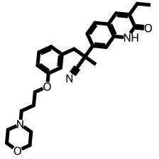 CCc1cc2ccc(C(C)(C#N)Cc3cccc(OCCCN4CCOCC4)c3)cc2[nH]c1=O